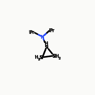 CC(C)N(C(C)C)[SiH]1[SiH2][SiH2]1